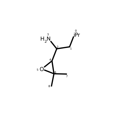 CC(C)CC(N)C1OC1(C)C